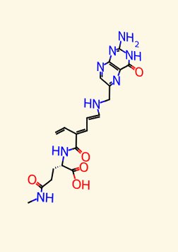 C=C/C(=C\C=C\NCc1cnc2nc(N)[nH]c(=O)c2n1)C(=O)N[C@@H](CCC(=O)NC)C(=O)O